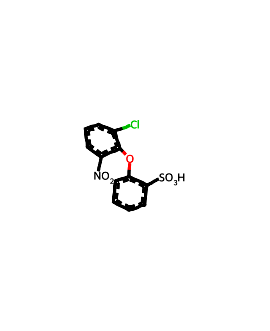 O=[N+]([O-])c1cccc(Cl)c1Oc1ccccc1S(=O)(=O)O